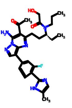 CCCN(C(=O)CO)[C@H](CC)CCc1nc2c(-c3ccc(-c4ncc(C)[nH]4)c(F)c3)cnn2c(N)c1C(C)=O